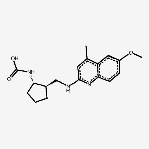 COc1ccc2nc(NC[C@H]3CCC[C@@H]3NC(=O)O)cc(C)c2c1